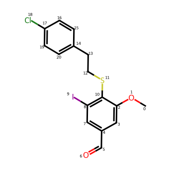 COc1cc(C=O)cc(I)c1SCCc1ccc(Cl)cc1